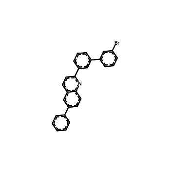 Brc1cccc(-c2cccc(-c3ccc4cc(-c5ccccc5)ccc4n3)c2)c1